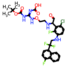 CC(C)(C)OC(=O)NC(=NC(=O)O)NOCCNC(C=O)c1c(Cl)ccc(NCC(F)(F)c2ccc(F)c3ccccc23)c1F